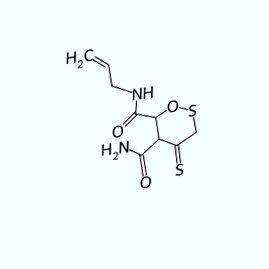 C=CCNC(=O)C1OSCC(=S)C1C(N)=O